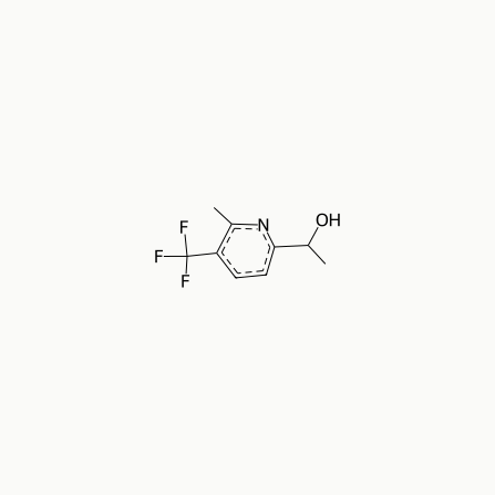 Cc1nc(C(C)O)ccc1C(F)(F)F